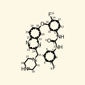 O=C(Nc1cccc(F)c1)Nc1ccc(F)c(Oc2ccc3ncc(CN4CCNCC4)nc3c2)c1